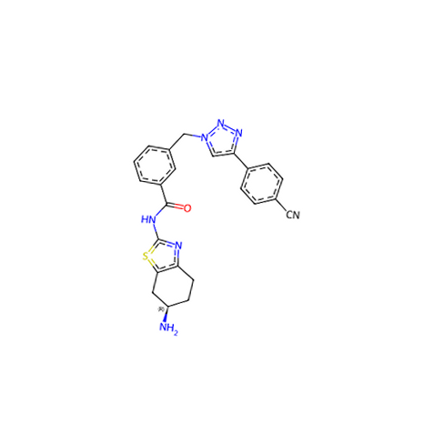 N#Cc1ccc(-c2cn(Cc3cccc(C(=O)Nc4nc5c(s4)C[C@H](N)CC5)c3)nn2)cc1